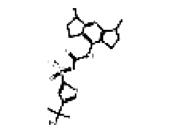 CC1CCc2c1nc1c(c2NC(=O)N=[S@](N)(=O)c2cc(C(C)(C)O)cs2)CCC1C